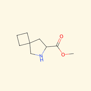 COC(=O)C1CC2(CCC2)CN1